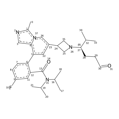 Cc1ncc2c(-c3ccc(F)cc3C(=O)N(C(C)C)C(C)C)cc(C3CN([C@H](CCC=O)C(C)C)C3)cn12